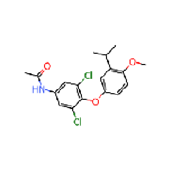 COc1ccc(Oc2c(Cl)cc(NC(C)=O)cc2Cl)cc1C(C)C